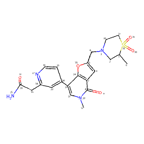 CC1CN(Cc2cc3c(=O)n(C)cc(-c4ccnc(CC(N)=O)c4)c3o2)CCS1(=O)=O